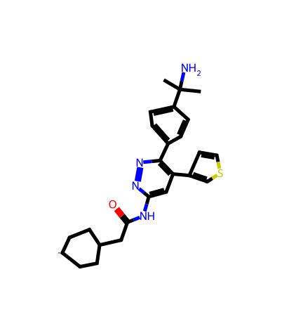 CC(C)(N)c1ccc(-c2nnc(NC(=O)CC3CC[CH]CC3)cc2-c2ccsc2)cc1